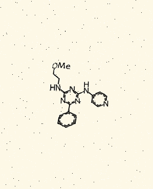 COCCNc1nc(Nc2ccncc2)nc(-c2ccccc2)n1